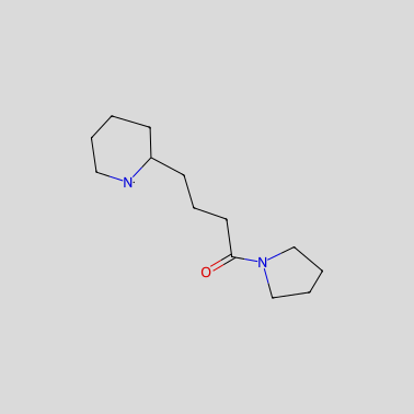 O=C(CCCC1CCCC[N]1)N1CCCC1